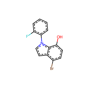 Oc1ccc(Br)c2ccn(-c3ccccc3F)c12